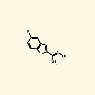 NC(=NO)c1cc2cc(F)ccc2o1